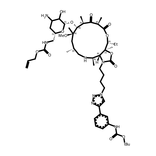 C=CCOC(=O)NC[C@@H]1CC(N)C(O)[C@H](O[C@@H]2[C@@H](C)C(=O)[C@@H](C)C(=O)O[C@H](CC)[C@@]3(C)OC(=O)N(CCCCn4cc(-c5cccc(NC(=O)OC(C)(C)C)c5)nn4)[C@@H]3[C@@H](C)NC[C@H](C)C[C@@]2(C)OC)O1